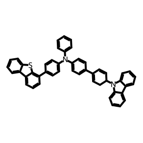 C1=CC(n2c3ccccc3c3ccccc32)CC=C1c1ccc(N(c2ccccc2)c2ccc(-c3cccc4c3sc3ccccc34)cc2)cc1